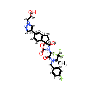 C[C@H](N(Cc1ccc(F)cc1)C(=O)CN1C(=O)O[C@@]2(CCc3cc(-c4cnn(CCO)c4)ccc32)C1=O)C(F)(F)F